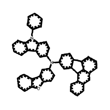 c1ccc(-n2c3ccccc3c3cc(N(c4ccc5c(c4)-c4c6ccccc6cc6cccc-5c46)c4ccc5oc6ccccc6c5c4)ccc32)cc1